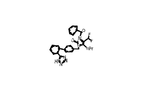 CCCc1c(C(F)F)n(C(=O)c2ccccc2)c(=O)n1Cc1ccc(-c2ccccc2-c2nnn[nH]2)cc1